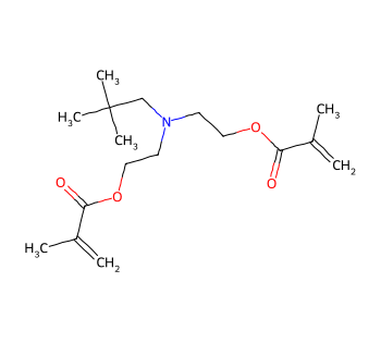 C=C(C)C(=O)OCCN(CCOC(=O)C(=C)C)CC(C)(C)C